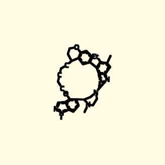 CCc1c(C)cc2nc3sc2c1-c1ccc2c(c1)C(CCCCCOc1c(ccc4c1cnn4C)C1CN3CCN1C)CCO2